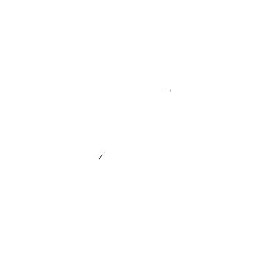 CC(C)(C)[C@H]1CC[C@H](CC=O)CC1